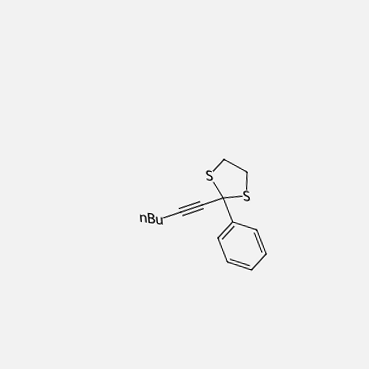 CCCCC#CC1(c2ccccc2)SCCS1